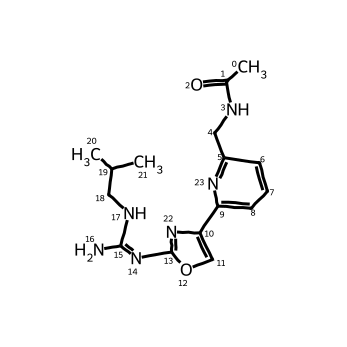 CC(=O)NCc1cccc(-c2coc(N=C(N)NCC(C)C)n2)n1